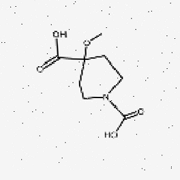 COC1(C(=O)O)CCN(C(=O)O)CC1